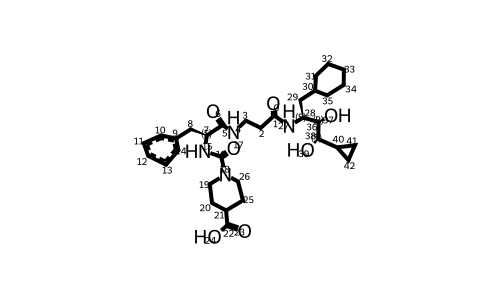 O=C(CCNC(=O)[C@H](Cc1ccccc1)NC(=O)N1CCC(C(=O)O)CC1)N[C@@H](CC1CCCCC1)[C@@H](O)[C@@H](O)C1CC1